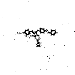 COc1ccc(/C=C2/C(Cc3ccc(OCc4ccccc4)cc3)N(C)/C(=N\C(=O)c3nccs3)N2C(=O)O)cc1